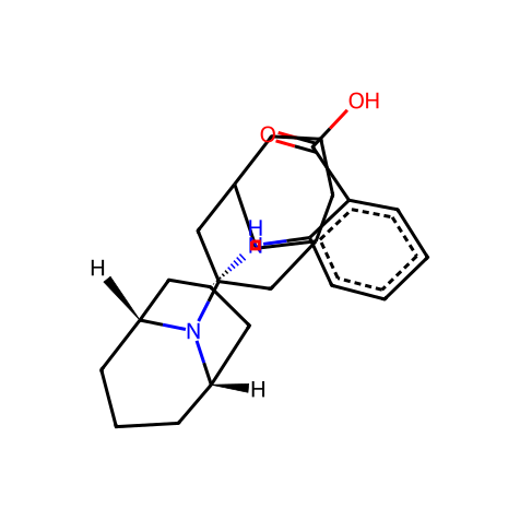 O=C(O)c1ccccc1N[C@H]1C[C@H]2CCC[C@@H](C1)N2C1CC2CCCC(C2)C1